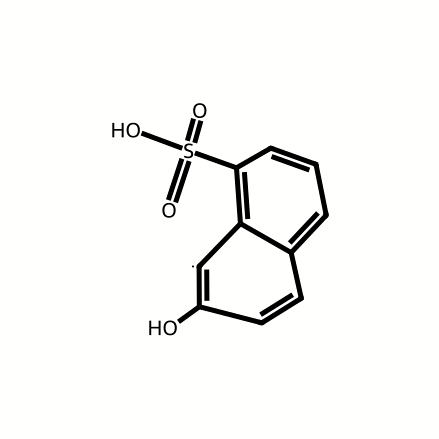 O=S(=O)(O)c1cccc2ccc(O)[c]c12